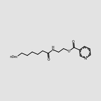 CCCCCCCCCCCCCCCC(=O)NCCOC(=O)c1cccnc1